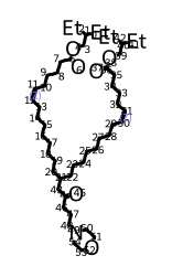 CCC(CC)COC(=O)CCCC/C=C\CCCCCCCCC(CCCCCCCC/C=C\CCCCC(=O)OCC(CC)CC)CC(=O)CCCN1CCOCC1